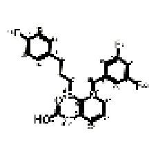 O=C(O)OC1=C(SCCCc2ccc(F)cc2)N(Cc2cc(F)cc(F)c2)CC=C1